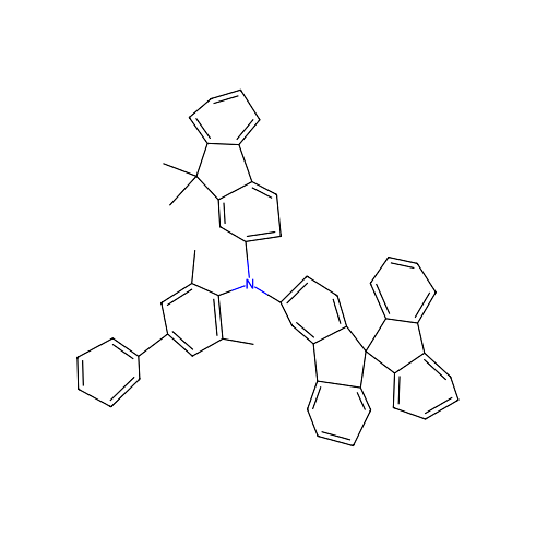 Cc1cc(-c2ccccc2)cc(C)c1N(c1ccc2c(c1)-c1ccccc1C21c2ccccc2-c2ccccc21)c1ccc2c(c1)C(C)(C)c1ccccc1-2